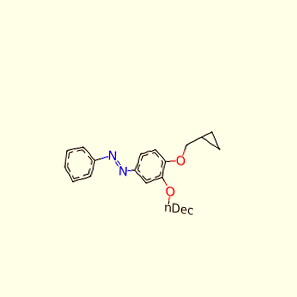 CCCCCCCCCCOc1cc(N=Nc2ccccc2)ccc1OCC1CC1